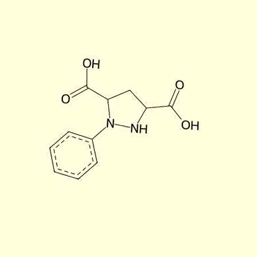 O=C(O)C1CC(C(=O)O)N(c2ccccc2)N1